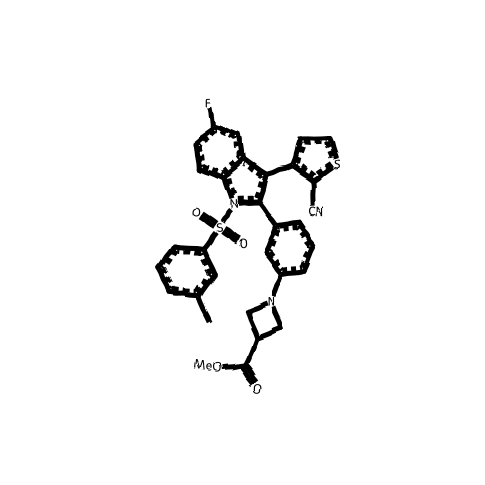 COC(=O)C1CN(c2cccc(-c3c(-c4ccsc4C#N)c4cc(F)ccc4n3S(=O)(=O)c3cccc(C)c3)c2)C1